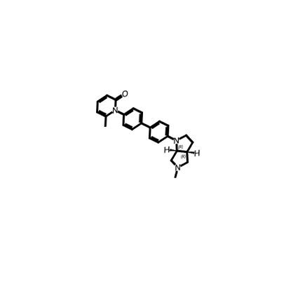 Cc1cccc(=O)n1-c1ccc(-c2ccc(N3CC[C@@H]4CN(C)C[C@@H]43)cc2)cc1